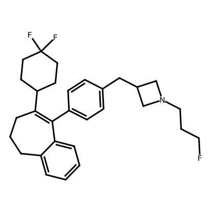 FCCCN1CC(Cc2ccc(C3=C(C4CCC(F)(F)CC4)CCCc4ccccc43)cc2)C1